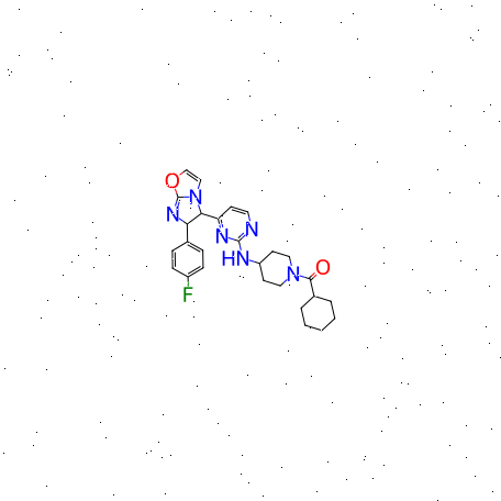 O=C(C1CCCCC1)N1CCC(Nc2nccc(C3C(c4ccc(F)cc4)N=C4OC=CN43)n2)CC1